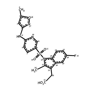 Cc1cc(Nc2ccc(S(=O)(=O)n3c(C)c(CC(=O)O)c4cc(F)ccc43)cn2)no1